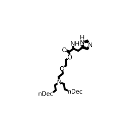 CCCCCCCCCCCCN(CCCCCCCCCCCC)CCOCCOC(=O)C(N)Cc1cnc[nH]1